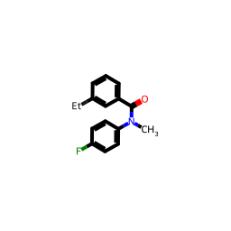 CCc1cccc(C(=O)N(C)c2ccc(F)cc2)c1